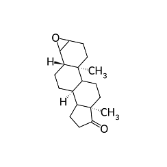 C[C@@]12CCC3[C@H](CC[C@@H]4C5OC5CC[C@@]34C)C1CCC2=O